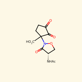 CC(=O)N[C@H]1CON(C2(C(=O)O)CCC(=O)C2=O)C1=O